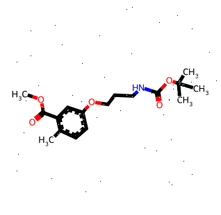 COC(=O)c1cc(OCCCNC(=O)OC(C)(C)C)ccc1C